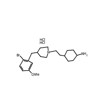 COc1ccc(Br)c(CC2CCN(CCC3CCC(N)CC3)CC2)c1.Cl.Cl